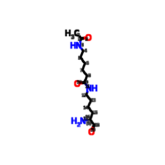 CC(=O)NCCCCCC(=O)NCCCC[C@H](N)C=O